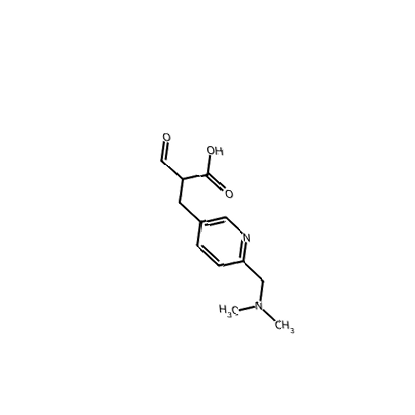 CN(C)Cc1ccc(CC(C=O)C(=O)O)cn1